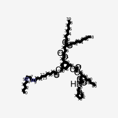 CCCCC/C=C\C/C=C\CCCCCCCC(=O)OCc1cc(COC(=O)CCC(OCCCCCCCC)OCCCCCCCC)cc(COC(=O)OCC(CCCCCC)OC(=O)NCCN2CCCC2)c1